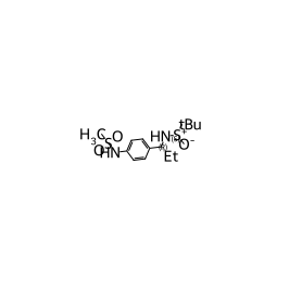 CC[C@@H](N[S@+]([O-])C(C)(C)C)c1ccc(NS(C)(=O)=O)cc1